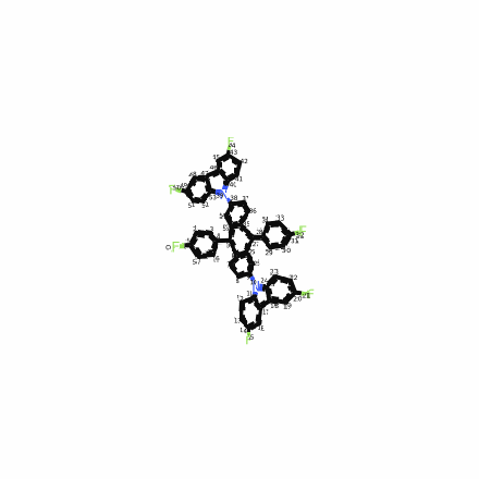 Fc1ccc(-c2c3ccc(-n4c5ccc(F)cc5c5cc(F)ccc54)cc3c(-c3ccc(F)cc3)c3ccc(-n4c5ccc(F)cc5c5cc(F)ccc54)cc23)cc1